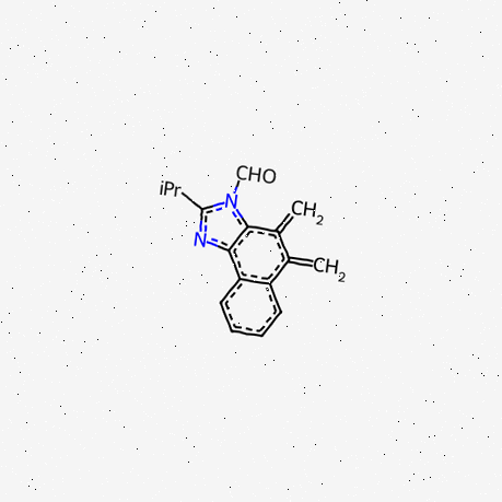 C=c1c(=C)c2c(nc(C(C)C)n2C=O)c2ccccc12